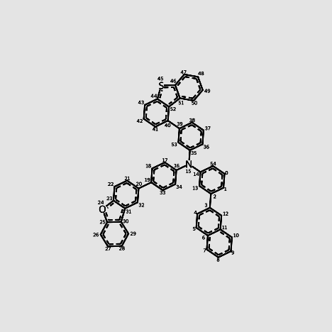 c1cc(-c2ccc3ccccc3c2)cc(N(c2ccc(-c3ccc4oc5ccccc5c4c3)cc2)c2cccc(-c3cccc4sc5ccccc5c34)c2)c1